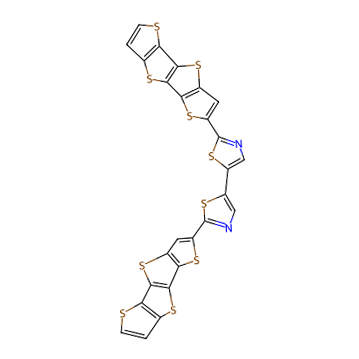 c1cc2sc3c4sc(-c5ncc(-c6cnc(-c7cc8sc9c%10sccc%10sc9c8s7)s6)s5)cc4sc3c2s1